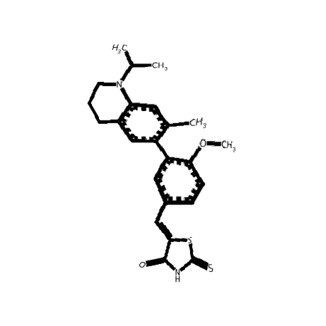 COc1ccc(/C=C2\SC(=S)NC2=O)cc1-c1cc2c(cc1C)N(C(C)C)CCC2